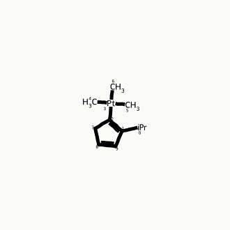 CC(C)C1=[C]([Pt]([CH3])([CH3])[CH3])CC=C1